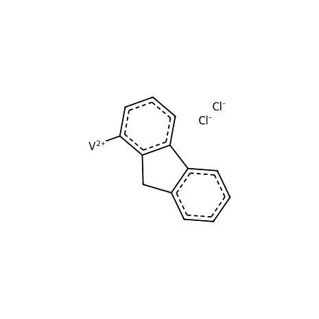 [Cl-].[Cl-].[V+2][c]1cccc2c1Cc1ccccc1-2